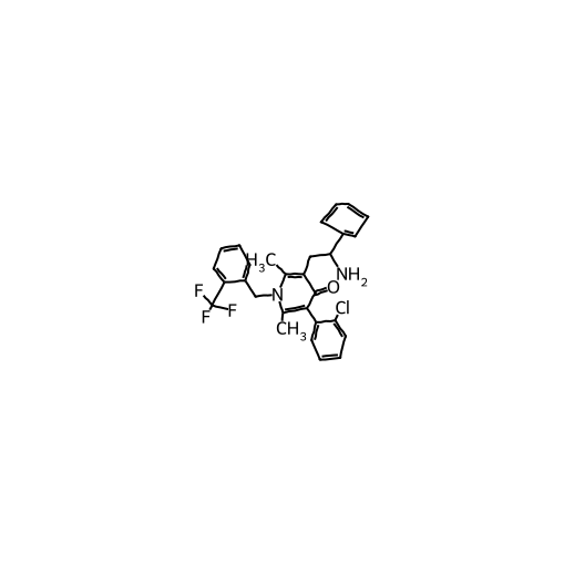 Cc1c(CC(N)c2ccccc2)c(=O)c(-c2ccccc2Cl)c(C)n1Cc1ccccc1C(F)(F)F